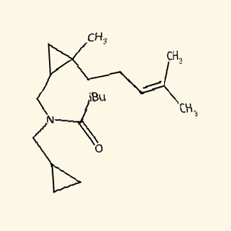 CCC(C)C(=O)N(CC1CC1)CC1CC1(C)CCC=C(C)C